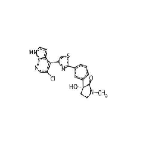 CN1CC[C@@](O)(c2cccc(-c3nc(-c4c(Cl)cnc5[nH]ccc45)cs3)c2)C1=O